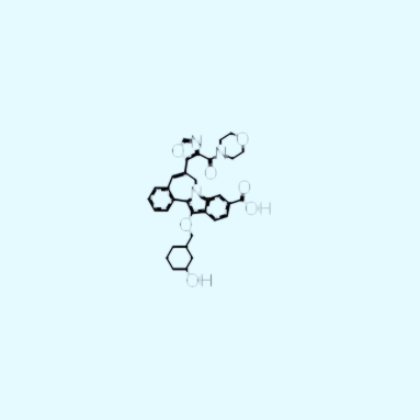 O=C(O)c1ccc2c(OCC3CCCC(O)C3)c3n(c2c1)CC(c1ocnc1C(=O)N1CCOCC1)=Cc1ccccc1-3